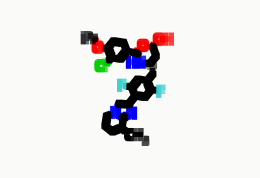 Cc1cccn2cc(-c3cc(F)c(C[C@@H](CCO)NC(=O)c4ccc(OC(C)C)c(Cl)c4)cc3F)nc12